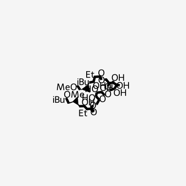 CC[C@H](C)[C@H](C[C@H]1C[C@H]1C[C@@H](O)[C@@H](CC)C(=O)OCC1OC(OC2OC(COC(=O)[C@H](CC)[C@H](O)C[C@@H]3C[C@@H]3C[C@H](OC)[C@@H](C)CC)C(O)C(O)C2O)C(O)C(O)C1O)OC